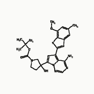 COc1cc(C)cc2cc(-c3cc(C4(O)CCN(C(=O)OC(C)(C)C)C4)n4ncnc(N)c34)sc12